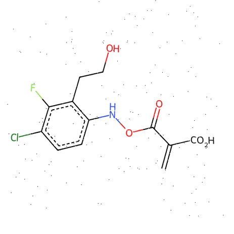 C=C(C(=O)O)C(=O)ONc1ccc(Cl)c(F)c1CCO